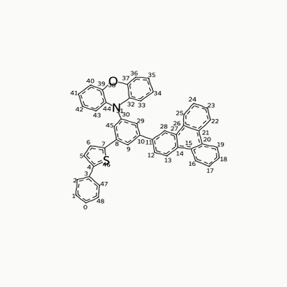 c1ccc(-c2ccc(-c3cc(-c4ccc5c6ccccc6c6ccccc6c5c4)cc(N4c5ccccc5Oc5ccccc54)c3)s2)cc1